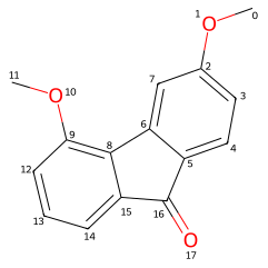 COc1ccc2c(c1)-c1c(OC)cccc1C2=O